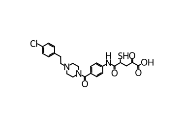 O=C(O)C(=O)CC(S)C(=O)Nc1ccc(C(=O)N2CCN(CCc3ccc(Cl)cc3)CC2)cc1